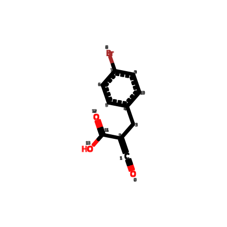 O=C=C(Cc1ccc(Br)cc1)C(=O)O